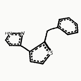 c1ccc(Cc2sccc2-c2cc[nH]n2)cc1